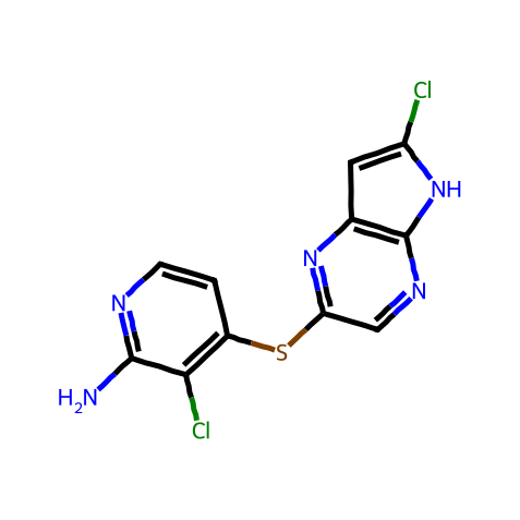 Nc1nccc(Sc2cnc3[nH]c(Cl)cc3n2)c1Cl